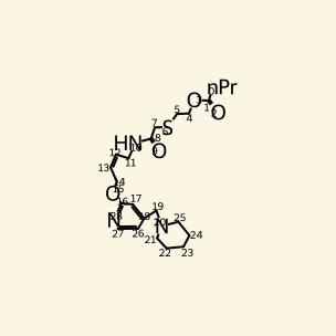 CCCC(=O)OCCSCC(=O)NC/C=C\COc1cc(CN2CCCCC2)ccn1